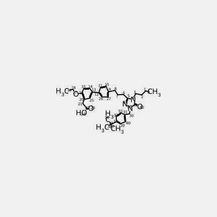 CCCCn1c(CCCc2ccc(-c3ccc(OCC)c(CC(=O)O)c3)cc2)nn(Cc2ccc(C(C)(C)C)cc2)c1=O